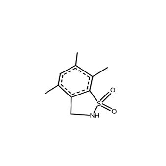 Cc1cc(C)c2c(c1C)S(=O)(=O)NC2